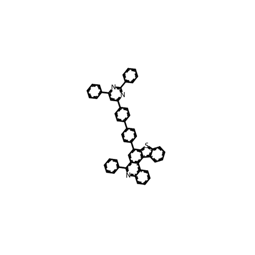 c1ccc(-c2cc(-c3ccc(-c4ccc(-c5cc6c(-c7ccccc7)nc7ccccc7c6c6c5sc5ccccc56)cc4)cc3)nc(-c3ccccc3)n2)cc1